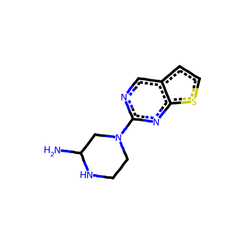 NC1CN(c2ncc3ccsc3n2)CCN1